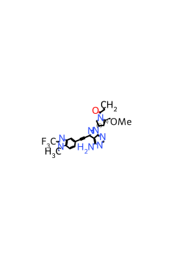 C=CC(=O)N1C[C@@H](n2nc(C#Cc3ccc4c(c3)nc(C(F)(F)F)n4C)c3c(N)ncnc32)C[C@@H]1COC